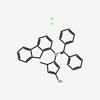 CC1C=C(C(C)(C)C)C=[C]1[Hf+2](=[C](c1ccccc1)c1ccccc1)[c]1cccc2c1Cc1ccccc1-2.[Cl-].[Cl-]